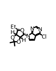 CC[C@H]1O[C@@H](n2ccc3c(Cl)ncnc32)[C@@H]2OC(C)(C)O[C@@H]21